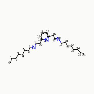 CCCCCCCCN=CCc1cccc(CC=NCCCCCCCC)n1